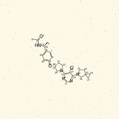 CC(=O)N[C@@H](C)c1ccc(O[C@@H]2CCN(c3ncnc(N4CCC5(CC5)C4)c3Cl)C2)cc1